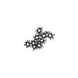 CC1(C)c2ccccc2-c2ccc(N(c3ccccc3)c3ccc4c(c3)C(c3ccccc3)(c3ccccc3)c3c-4cc(-c4ccccc4)c4ccccc34)cc21